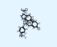 CC(=O)[C@H]1CC[C@H]2[C@@H]3[C@H](Sc4ccc(N)cc4)CC4=CC(=O)CC[C@]4(C)[C@H]3CC[C@]12C